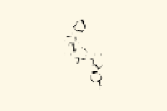 Cc1c(C(=O)N2CCN(C(=O)c3ncn(-c4ccccc4)n3)C(C)(C)C2)oc2ccc(F)cc12